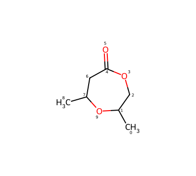 CC1COC(=O)CC(C)O1